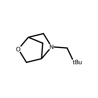 CC(C)(C)CN1CC2CC1CO2